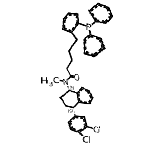 CN(C(=O)CCCCc1ccccc1P(c1ccccc1)c1ccccc1)[C@H]1CC[C@@H](c2ccc(Cl)c(Cl)c2)c2ccccc21